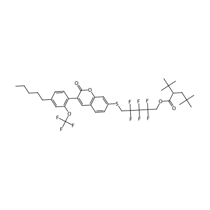 CCCCCc1ccc(-c2cc3ccc(SCC(F)(F)C(F)(F)C(F)(F)COC(=O)C(CC(C)(C)C)C(C)(C)C)cc3oc2=O)c(OC(F)(F)F)c1